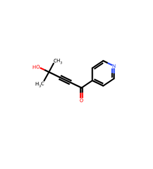 CC(C)(O)C#CC(=O)c1ccncc1